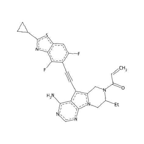 C=CC(=O)N1Cc2c(C#Cc3c(F)cc4sc(C5CC5)nc4c3F)c3c(N)ncnc3n2CC1CC